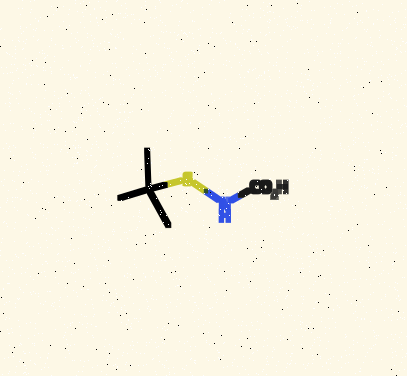 CC(C)(C)SNC(=O)O